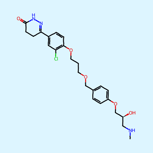 CNC[C@H](O)COc1ccc(COCCCOc2ccc(C3=NNC(=O)CC3)cc2Cl)cc1